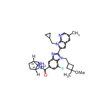 COC1(C)CC(Cn2c(-c3cc4cc(C)cnc4n3CC3CC3)nc3cc(C(=O)N4C[C@H]5CC[C@@H]4[C@@H]5N)cc(F)c32)C1